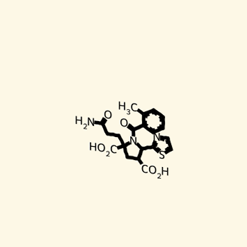 Cc1ccccc1C(=O)N1C(c2nccs2)C(C(=O)O)CC1(CCC(N)=O)C(=O)O